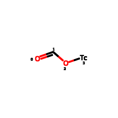 O=C[O][Tc]